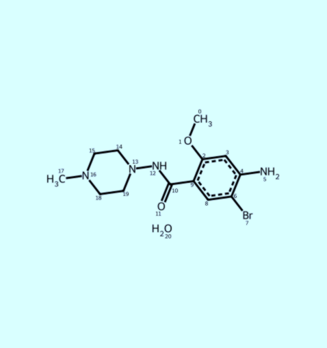 COc1cc(N)c(Br)cc1C(=O)NN1CCN(C)CC1.O